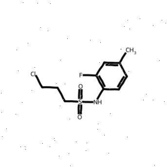 Cc1ccc(NS(=O)(=O)CCCCl)c(F)c1